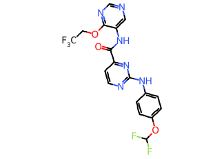 O=C(Nc1cncnc1OCC(F)(F)F)c1ccnc(Nc2ccc(OC(F)F)cc2)n1